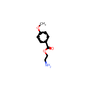 COc1ccc(C(=O)OCCN)cc1